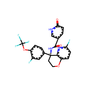 O=C(N[C@]1(c2ccc(OC(F)(F)F)c(F)c2)CCOc2ccc(F)nc21)c1ccc(=O)[nH]c1